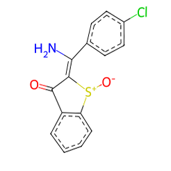 N/C(=C1\C(=O)c2ccccc2[S+]1[O-])c1ccc(Cl)cc1